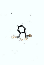 BrB(Br)c1ccccc1B(Br)Br